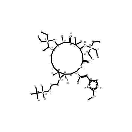 CC[Si](CC)(CC)OC1[C@@H](C)CCC[C@]2(C)[C@H](C[C@@H](/C(C)=C/c3csc(SC)n3)OC(=O)CC(O[Si](CC)(CC)CC)C(C)(C)C(=O)[C@@H]1C)N2CCO[Si](C)(C)C(C)(C)C